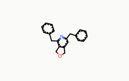 [c]1c(Cc2ccccc2)nc(Cc2ccccc2)c2c1COC2